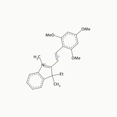 CCC1(C)C(/C=C/c2c(OC)cc(OC)cc2OC)=[N+](C)c2ccccc21